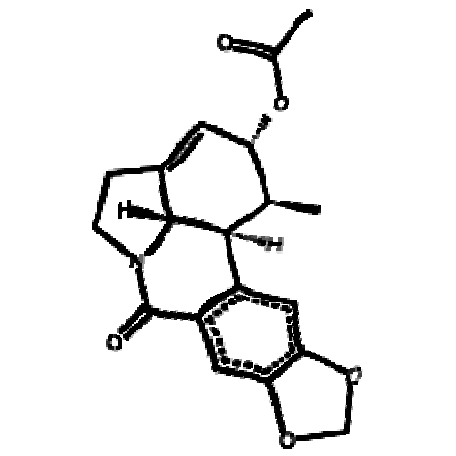 CC(=O)O[C@H]1C=C2CCN3C(=O)c4cc5c(cc4[C@H]([C@@H]1C)[C@@H]23)OCO5